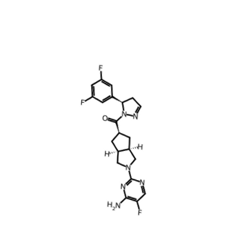 Nc1nc(N2C[C@H]3C[C@@H](C(=O)N4N=CC[C@@H]4c4cc(F)cc(F)c4)C[C@H]3C2)ncc1F